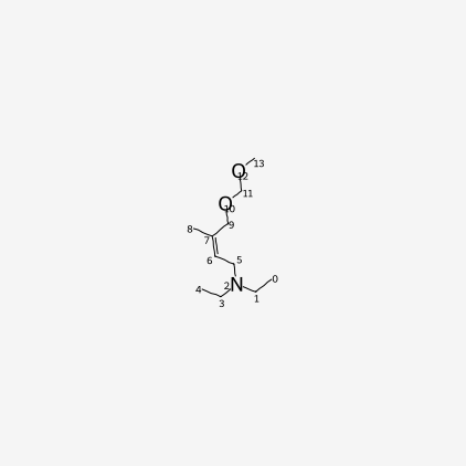 CCN(CC)CC=C(C)COCOC